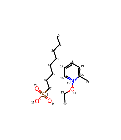 CCCCCCCCS(=O)(=O)[O-].CCO[n+]1ccccc1C